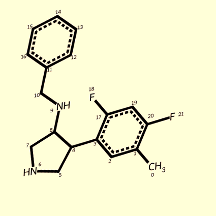 Cc1cc(C2CNCC2NCc2ccccc2)c(F)cc1F